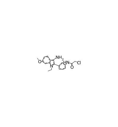 CCn1c(-c2cccc(NC(=O)CCl)c2)c(N)c2ccc(OC)cc21